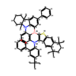 Cc1cc2c3c(c1)N1c4c(cc(-c5ccccc5)cc4C4(C)CCCCC14C)B3c1sc3cc4c(cc3c1N2c1ccc(C(C)(C)C)cc1-c1ccccc1)C(C)(C)CCC4(C)C